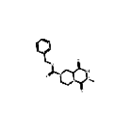 C[C@@H]1NC(=O)C2CN(C(=O)OCc3ccccc3)CCN2C1=O